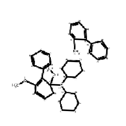 COC1=C(c2ccccc2)C(OC)(P(C2CCCCC2)C2CCCCC2)CC=C1.Nc1ccccc1-c1ccccc1